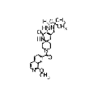 COc1nccc2ccc(C(=O)N3CCC4(CC3)CC3=C(NN(C(C)(C)C)C3)C(=O)N4)cc12